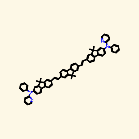 CC1(C)c2cc(/C=C/c3ccc4c(c3)C(C)(C)c3cc(N(c5ccccc5)c5ccccn5)ccc3-4)ccc2-c2ccc(/C=C/c3ccc4c(c3)C(C)(C)c3cc(N(c5ccccc5)c5ccccn5)ccc3-4)cc21